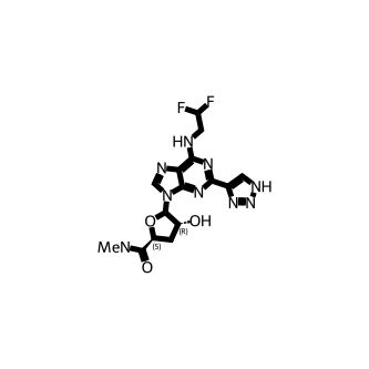 CNC(=O)[C@@H]1C[C@@H](O)C(n2cnc3c(NCC(F)F)nc(-c4c[nH]nn4)nc32)O1